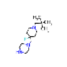 CC(C)(C)CN1CCC(F)(CN2CCNCC2)CC1